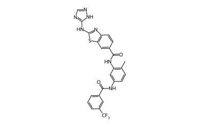 Cc1ccc(NC(=O)c2cccc(C(F)(F)F)c2)cc1NC(=O)c1ccc2nc(Nc3ncn[nH]3)sc2c1